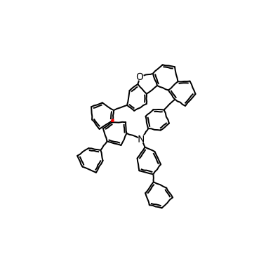 c1ccc(-c2ccc(N(c3ccc(-c4cccc5ccc6oc7cc(-c8ccccc8)ccc7c6c45)cc3)c3cccc(-c4ccccc4)c3)cc2)cc1